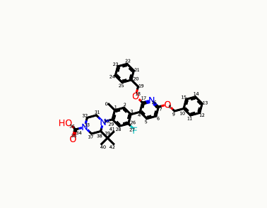 Cc1cc(-c2ccc(OCc3ccccc3)nc2OCc2ccccc2)c(F)cc1N1CCN(C(=O)O)CC1C(C)(C)C